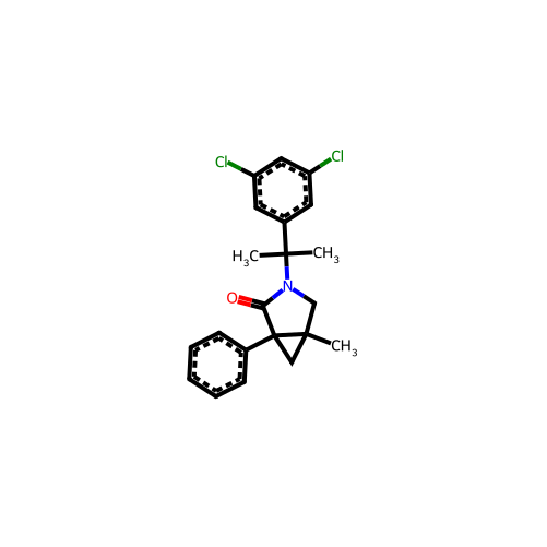 CC(C)(c1cc(Cl)cc(Cl)c1)N1CC2(C)CC2(c2ccccc2)C1=O